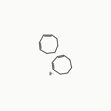 C1=CCCCCC=C1.C1=CCCCCC=C1.[Ir]